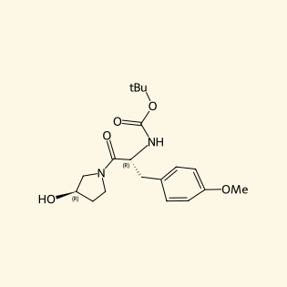 COc1ccc(C[C@@H](NC(=O)OC(C)(C)C)C(=O)N2CC[C@@H](O)C2)cc1